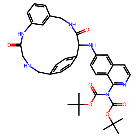 CC(C)(C)OC(=O)N(C(=O)OC(C)(C)C)c1nccc2cc(NC3C(=O)NCc4cccc(c4)NC(=O)CNCc4ccc3cc4)ccc12